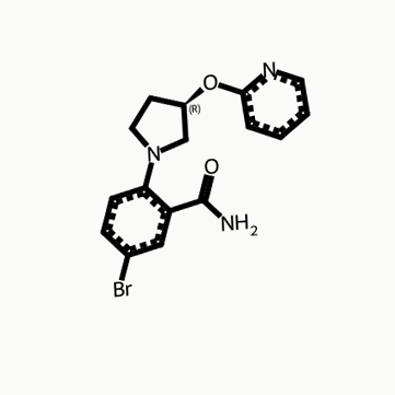 NC(=O)c1cc(Br)ccc1N1CC[C@@H](Oc2ccccn2)C1